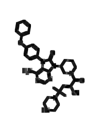 CC(C)(C=C(C#N)C(=O)N1CCCC(n2c(=O)n(-c3ccc(Oc4ccccc4)cc3)c3c(N)ncnc32)C1)N1CCNCC1